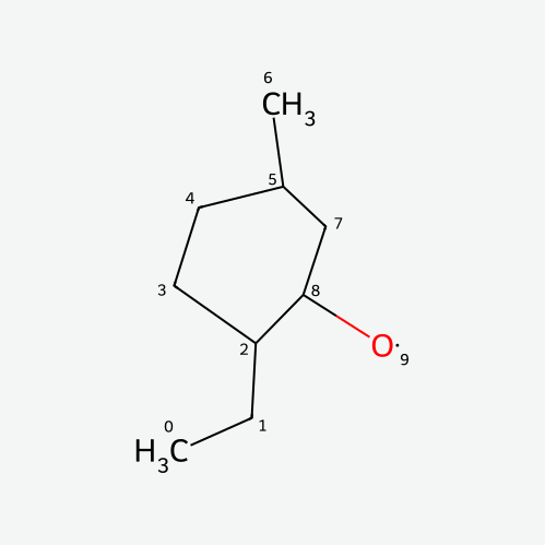 CCC1CCC(C)CC1[O]